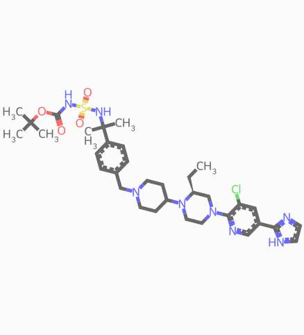 CC[C@H]1CN(c2ncc(-c3ncc[nH]3)cc2Cl)CCN1C1CCN(Cc2ccc(C(C)(C)NS(=O)(=O)NC(=O)OC(C)(C)C)cc2)CC1